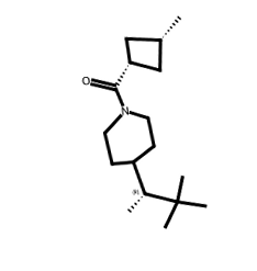 C[C@H](C1CCN(C(=O)[C@H]2C[C@@H](C)C2)CC1)C(C)(C)C